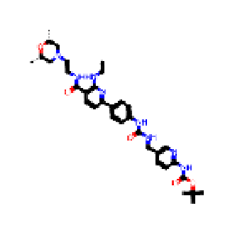 CCNc1nc(-c2ccc(NC(=O)NCc3ccc(NC(=O)OC(C)(C)C)nc3)cc2)ccc1C(=O)NCCN1C[C@@H](C)O[C@@H](C)C1